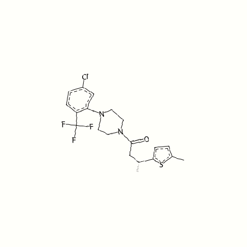 Cc1ccc([C@H](C)CC(=O)N2CCN(c3cc(Cl)ccc3C(F)(F)F)CC2)s1